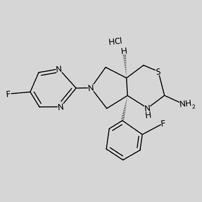 Cl.NC1N[C@@]2(c3ccccc3F)CN(c3ncc(F)cn3)C[C@H]2CS1